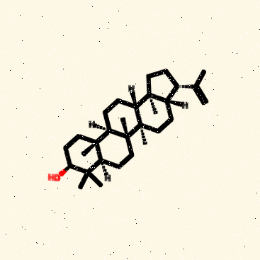 C=C(C)[C@H]1CC[C@]2(C)[C@H]3CC[C@@H]4[C@@]5(C)CC[C@H](O)C(C)(C)[C@@H]5CC[C@@]4(C)[C@]3(C)CC[C@@H]12